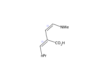 CCC/C=C(/C=C\NC)C(=O)O